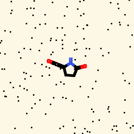 O=C=C1CCC(=O)N1